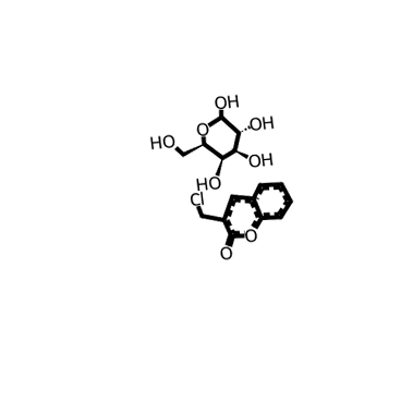 O=c1oc2ccccc2cc1CCl.OC[C@H]1OC(O)[C@H](O)[C@@H](O)[C@H]1O